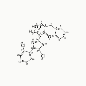 CN(C(=O)C(CC(=O)O)Cc1ccccc1)c1nc(-c2ccccc2Cl)c(Cl)s1